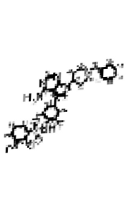 Nc1ncnc2c1c(-c1ccc(NS(=O)(=O)c3cccc(Cl)c3Cl)c(F)c1)cn2C1CCN(Cc2ccccc2)CC1